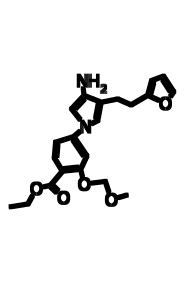 CCOC(=O)c1ccc(-n2cc(N)c(CCc3ccco3)c2)cc1OCOC